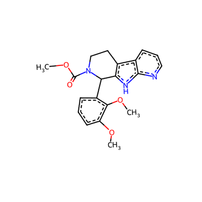 COC(=O)N1CCc2c([nH]c3ncccc23)C1c1cccc(OC)c1OC